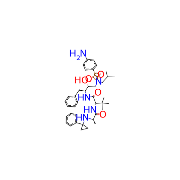 CC(C)CN(C[C@@H](O)[C@H](Cc1ccccc1)NC(=O)[C@@H](NC(=O)[C@@H](C)NC1(c2ccccc2)CC1)C(C)(C)C)S(=O)(=O)c1ccc(N)cc1